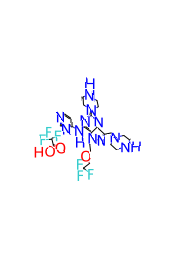 FC(F)(F)COCCn1nc(CN2CCNCC2)c2nc(N3CCNCC3)nc(Nc3ccncn3)c21.O=C(O)C(F)(F)F